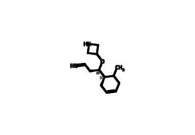 CC1CC=CC[C@H]1[C@@H](CC=N)OC1CNC1